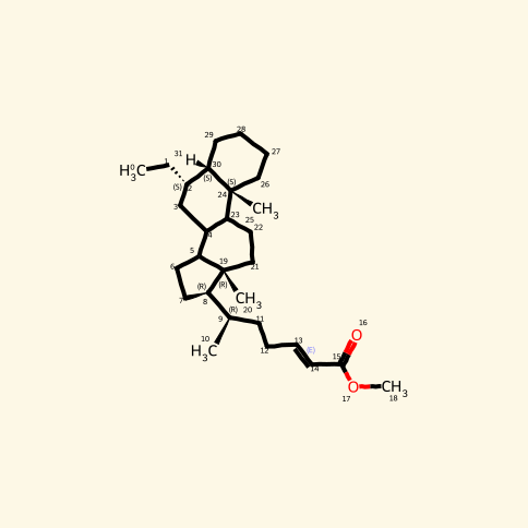 CC[C@H]1CC2C3CC[C@H]([C@H](C)CC/C=C/C(=O)OC)[C@@]3(C)CCC2[C@@]2(C)CCCC[C@@H]12